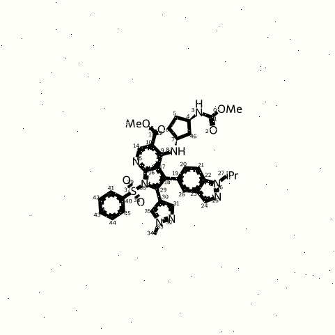 COC(=O)N[C@@H]1CC[C@@H](Nc2c(C(=O)OC)cnc3c2c(-c2ccc4c(cnn4C(C)C)c2)c(-c2cnn(C)c2)n3S(=O)(=O)c2ccccc2)C1